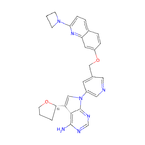 Nc1ncnc2c1c([C@@H]1CCCO1)cn2-c1cncc(COc2ccc3ccc(N4CCC4)nc3c2)c1